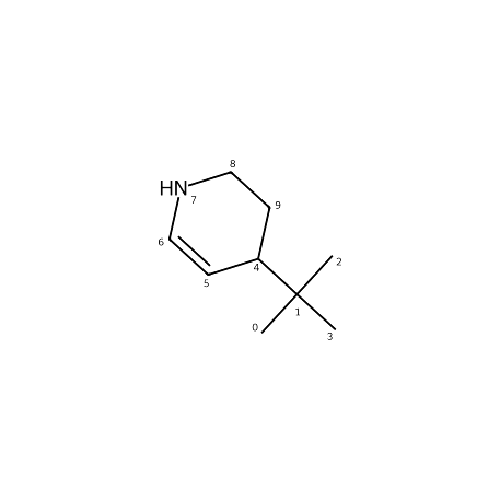 CC(C)(C)C1C=CNCC1